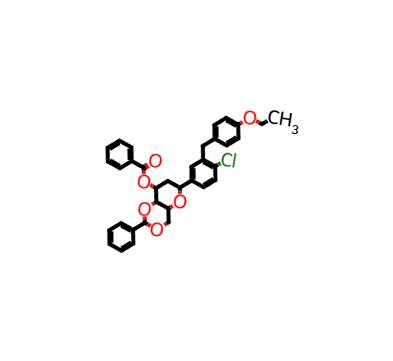 CCOc1ccc(Cc2cc(C3CC(OC(=O)c4ccccc4)C4OC(c5ccccc5)OCC4O3)ccc2Cl)cc1